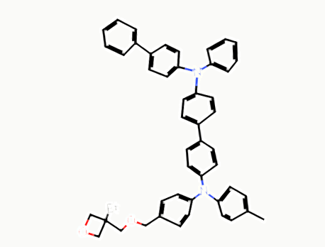 CCC1(COCc2ccc(N(c3ccc(C)cc3)c3ccc(-c4ccc(N(c5ccccc5)c5ccc(-c6ccccc6)cc5)cc4)cc3)cc2)COC1